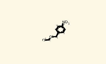 O=[N+]([O-])c1ccc(COCCl)cc1